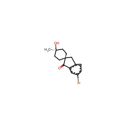 C[C@]1(O)CC[C@@]2(CC1)Cc1ccc(Br)cc1C2=O